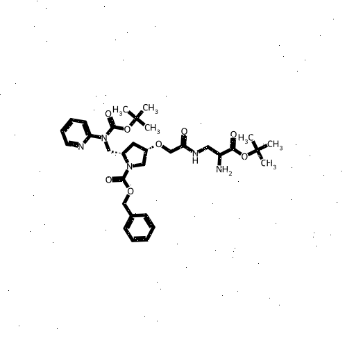 CC(C)(C)OC(=O)C(N)CNC(=O)CO[C@H]1C[C@@H](CN(C(=O)OC(C)(C)C)c2ccccn2)N(C(=O)OCc2ccccc2)C1